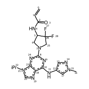 C=CC(=O)NC1CN(c2nc(Nc3cnn(C)c3)c3ncn(C(C)C)c3n2)CC1(F)F